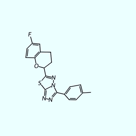 Cc1ccc(-c2nnc3sc(C4CCc5cc(F)ccc5O4)nn23)cc1